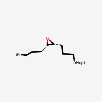 CCCCCCCCCC[C@H]1O[C@H]1CCCC(C)C